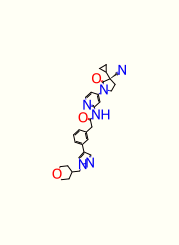 N#C[C@@]1(C2CC2)CCN(c2ccnc(NC(=O)Cc3cccc(-c4cnn(CC5CCOCC5)c4)c3)c2)C1=O